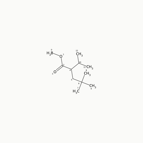 BOC(=O)C(CC(C)(C)C)C(C)C